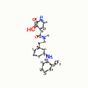 CN(CCc1cccc(Nc2ccccc2C(F)(F)F)c1)C(=O)c1cc[nH]c(=O)c1O